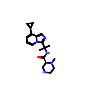 CN1CCNC[C@H]1C(=O)NC(C)(C)c1ncc2c(C3CC3)cccn12